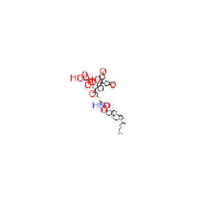 COc1ccc(C(c2ccccc2)(c2ccc(OC)cc2)C(O)C2CC(C(=O)CCCCCNC(=O)OC3CC[C@@]4(C)C(=CCC5C4CC[C@@]4(C)C5CC[C@@H]4C(C)CCCC(C)C)C3)CC2OC(=O)CCC(=O)O)cc1